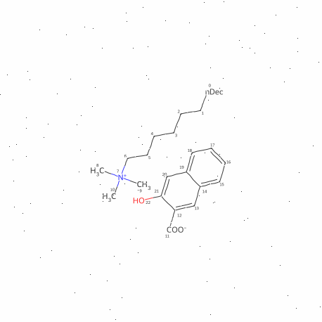 CCCCCCCCCCCCCCCC[N+](C)(C)C.O=C([O-])c1cc2ccccc2[c]c1O